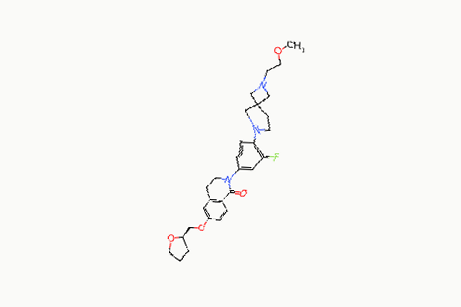 COCCN1CC2(CCN(c3ccc(N4CCc5cc(OC[C@H]6CCCO6)ccc5C4=O)cc3F)C2)C1